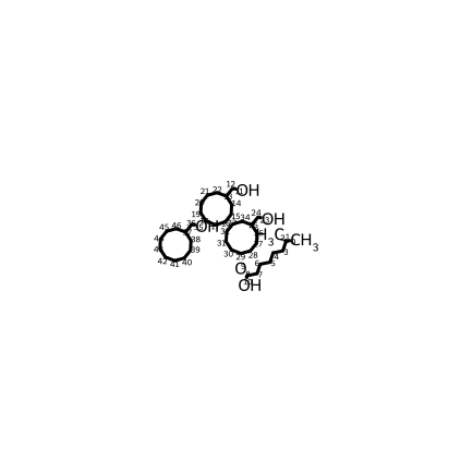 CC(C)CCCCCC(=O)O.OCC1CCCCCCCCC1.OCC1CCCCCCCCC1.OCC1CCCCCCCCC1